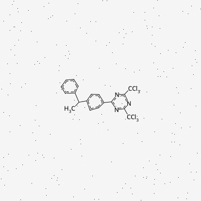 CC(c1ccccc1)c1ccc(-c2nc(C(Cl)(Cl)Cl)nc(C(Cl)(Cl)Cl)n2)cc1